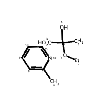 CCOC(C)(O)C(=O)O.Cc1ccccn1